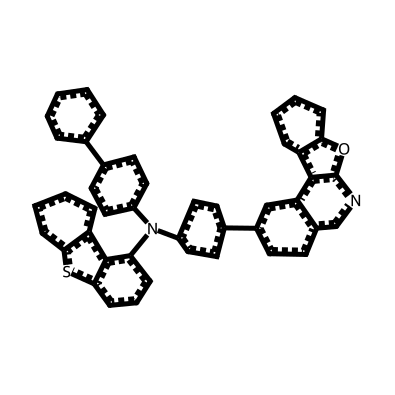 c1ccc(-c2ccc(N(c3ccc(-c4ccc5cnc6oc7ccccc7c6c5c4)cc3)c3cccc4sc5ccccc5c34)cc2)cc1